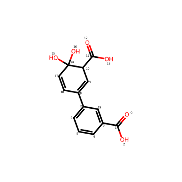 O=C(O)c1cccc(C2=CC(C(=O)O)C(O)(O)C=C2)c1